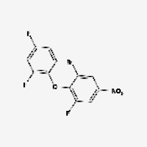 O=[N+]([O-])c1cc(F)c(Oc2ccc(F)cc2F)c(Br)c1